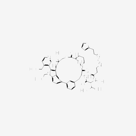 CCc1ccncc1-c1c2c3cc(ccc3n1CC)-c1cccc(c1)C[C@H](NC(=O)[C@H](C(C)C)N(C)C(=O)CCN=C=NCCc1cccs1)C(=O)N1CCC[C@H](N1)C(=O)OCC(C)(C)C2